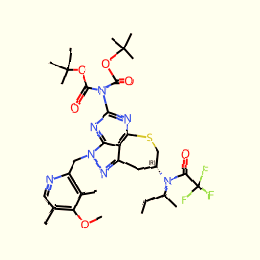 CCC(C)N(C(=O)C(F)(F)F)[C@H]1CSc2nc(N(C(=O)OC(C)(C)C)C(=O)OC(C)(C)C)nc3c2c(nn3Cc2ncc(C)c(OC)c2C)C1